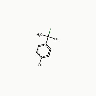 Cc1ccc(C(C)(C)F)cc1